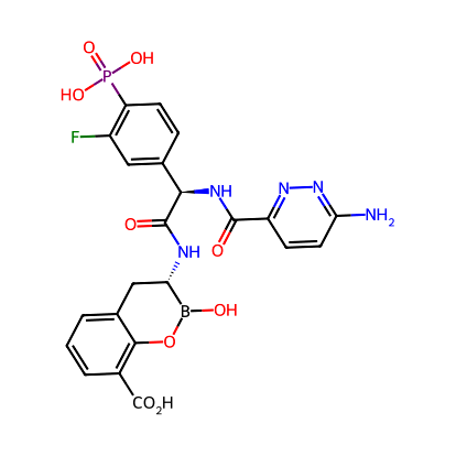 Nc1ccc(C(=O)N[C@@H](C(=O)N[C@H]2Cc3cccc(C(=O)O)c3OB2O)c2ccc(P(=O)(O)O)c(F)c2)nn1